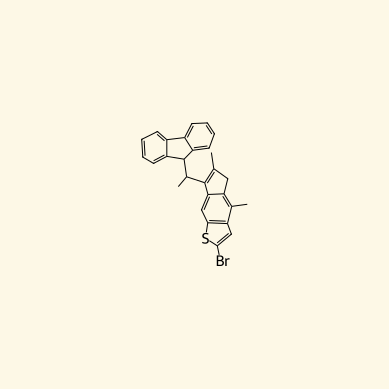 CC1=C(C(C)C2c3ccccc3-c3ccccc32)c2cc3sc(Br)cc3c(C)c2C1